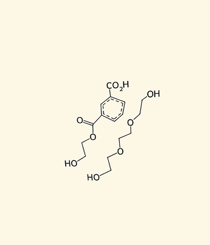 O=C(O)c1cccc(C(=O)OCCO)c1.OCCOCCOCCO